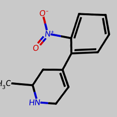 CC1CC(c2ccccc2[N+](=O)[O-])=CCN1